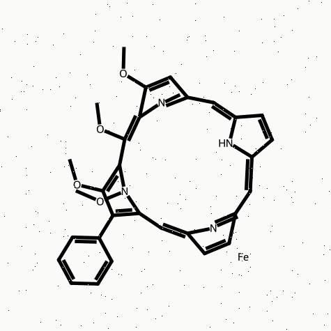 COC1=Cc2cc3ccc(cc4nc(cc5c(-c6ccccc6)c(OC)c(c(OC)c1n2)n5OC)C=C4)[nH]3.[Fe]